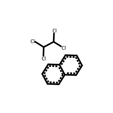 ClC(Cl)C(Cl)Cl.c1ccc2ccccc2c1